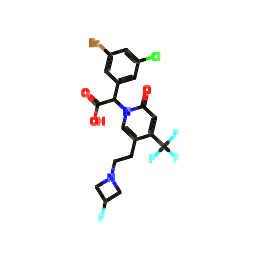 O=C(O)C(c1cc(Cl)cc(Br)c1)n1cc(CCN2CC(F)C2)c(C(F)(F)F)cc1=O